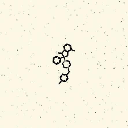 Cc1ccc(CN2CCN(C3(c4ccccc4)Cc4c(C)cccc4C3=O)CC2)cc1